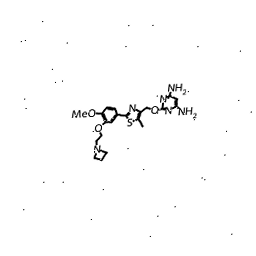 COc1ccc(-c2nc(COc3nc(N)cc(N)n3)c(C)s2)cc1OCCN1CCC1